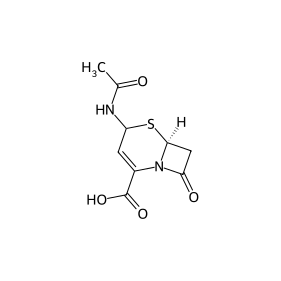 CC(=O)NC1C=C(C(=O)O)N2C(=O)C[C@@H]2S1